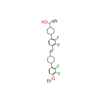 CCCC(O)C1CCC(c2ccc(/C=C/C3CCC(c4ccc(OCC)c(F)c4F)CC3)c(F)c2F)CC1